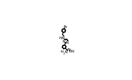 NC(=NO)c1cccc(-c2nccc(NCCc3ccc(Br)cc3)n2)c1